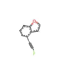 FC#Cc1cccc2oc[c]c12